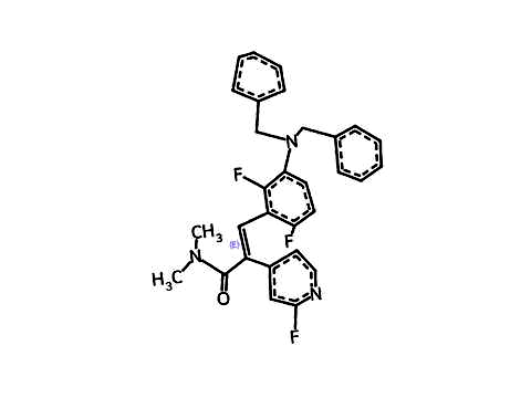 CN(C)C(=O)/C(=C/c1c(F)ccc(N(Cc2ccccc2)Cc2ccccc2)c1F)c1ccnc(F)c1